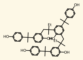 CCC(C)(Cc1cc(C(C)(C)c2ccc(O)cc2)cc(C(C)(CC)Cc2cc(C(C)(C)c3ccc(O)cc3)ccc2O)c1O)c1cc(C(C)(C)c2ccc(O)cc2)ccc1O